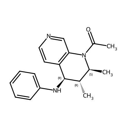 CC(=O)N1c2cnccc2[C@H](Nc2ccccc2)[C@@H](C)[C@@H]1C